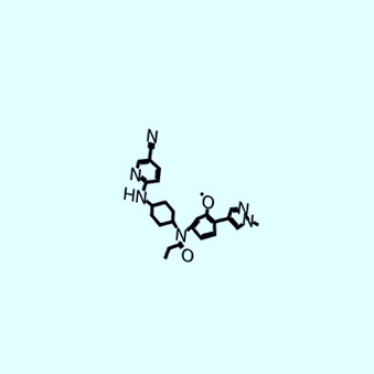 CCC(=O)N(c1ccc(-c2cnn(C)c2)c(OC)c1)C1CCC(Nc2ccc(C#N)cn2)CC1